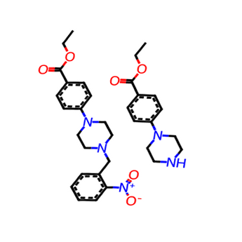 CCOC(=O)c1ccc(N2CCN(Cc3ccccc3[N+](=O)[O-])CC2)cc1.CCOC(=O)c1ccc(N2CCNCC2)cc1